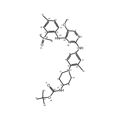 COc1cnc(Nc2ccc(N3CCC(NC(=O)OC(C)(C)C)CC3)c(C)c2)nc1Nc1ccc(C)cc1P(C)(C)=O